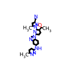 CC(=O)c1ccc(-n2cnc3cc(Nc4ccc(C)nn4)ccc32)nc1-n1nc(C#N)cc1C